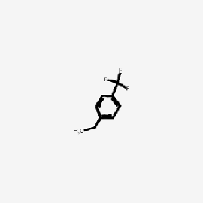 CCc1ccc(C(F)(F)F)cc1